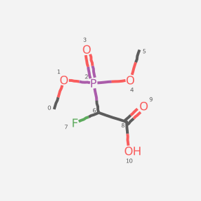 COP(=O)(OC)C(F)C(=O)O